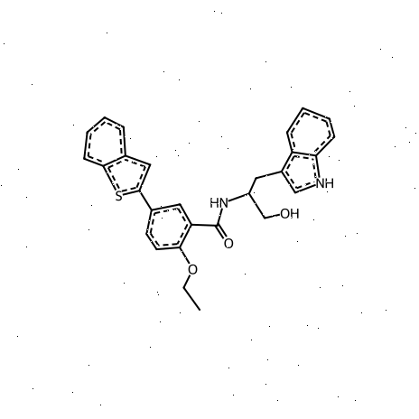 CCOc1ccc(-c2cc3ccccc3s2)cc1C(=O)NC(CO)Cc1c[nH]c2ccccc12